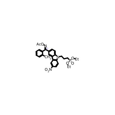 CCOP(=O)(CCCn1c2ccc(/C(=N/OC(C)=O)c3ccccc3C)cc2c2cc([N+](=O)[O-])ccc21)OCC